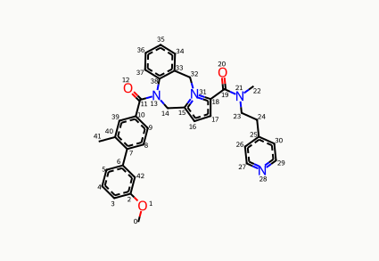 COc1cccc(-c2ccc(C(=O)N3Cc4ccc(C(=O)N(C)CCc5ccncc5)n4Cc4ccccc43)cc2C)c1